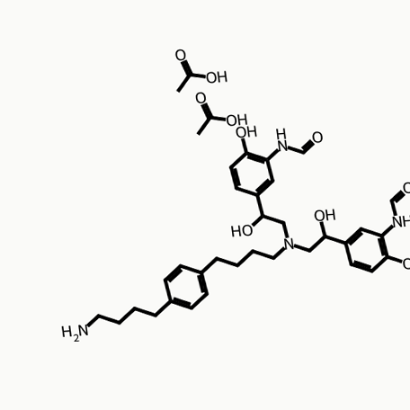 CC(=O)O.CC(=O)O.NCCCCc1ccc(CCCCN(CC(O)c2ccc(O)c(NC=O)c2)CC(O)c2ccc(O)c(NC=O)c2)cc1